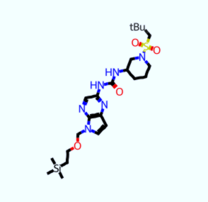 CC(C)(C)CS(=O)(=O)N1CCCC(NC(=O)Nc2cnc3c(ccn3COCC[Si](C)(C)C)n2)C1